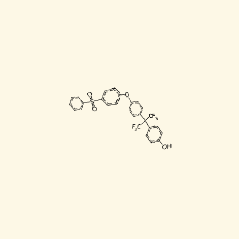 O=S(=O)(c1ccccc1)c1ccc(Oc2ccc(C(c3ccc(O)cc3)(C(F)(F)F)C(F)(F)F)cc2)cc1